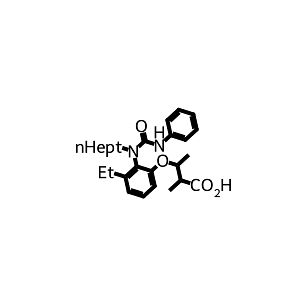 CCCCCCCN(C(=O)Nc1ccccc1)c1c(CC)cccc1OC(C)C(C)C(=O)O